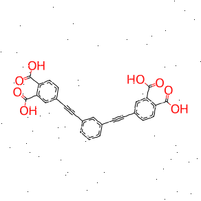 O=C(O)c1ccc(C#Cc2cccc(C#Cc3ccc(C(=O)O)c(C(=O)O)c3)c2)cc1C(=O)O